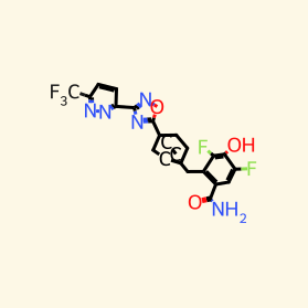 NC(=O)c1cc(F)c(O)c(F)c1CC12CCC(c3nc(-c4ccc(C(F)(F)F)nn4)no3)(CC1)CC2